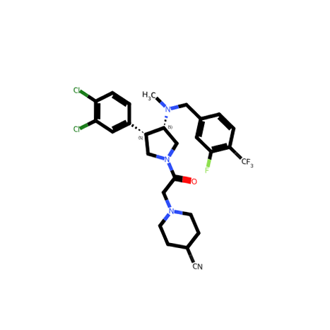 CN(Cc1ccc(C(F)(F)F)c(F)c1)[C@@H]1CN(C(=O)CN2CCC(C#N)CC2)C[C@@H]1c1ccc(Cl)c(Cl)c1